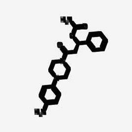 NC(=O)O[C@H](CC(=O)N1CCN(c2ccc(N)cc2)CC1)c1ccccc1